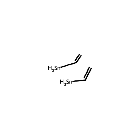 C=[CH][SnH3].C=[CH][SnH3]